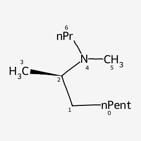 CCCCCC[C@@H](C)N(C)CCC